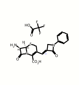 N[C@@H]1C(=O)N2C(C(=O)O)=C(/C=C3\CN(c4ccccc4)C3=O)CS[C@H]12.O=C(O)C(F)(F)F